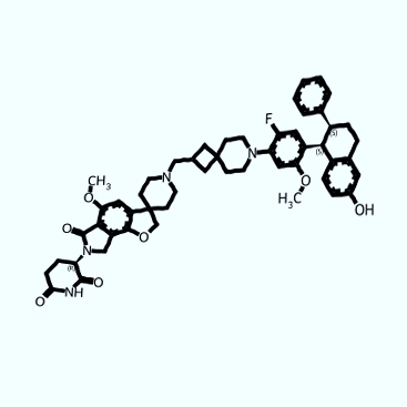 COc1cc(N2CCC3(CC2)CC(CN2CCC4(CC2)COc2c4cc(OC)c4c2CN([C@@H]2CCC(=O)NC2=O)C4=O)C3)c(F)cc1[C@@H]1c2ccc(O)cc2CC[C@@H]1c1ccccc1